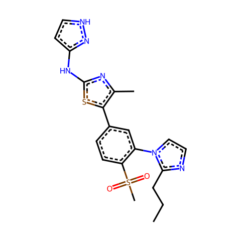 CCCc1nccn1-c1cc(-c2sc(Nc3cc[nH]n3)nc2C)ccc1S(C)(=O)=O